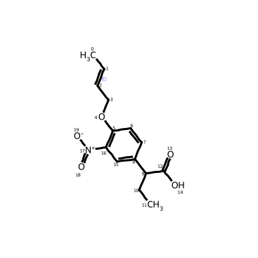 C/C=C/COc1ccc(C(CC)C(=O)O)cc1[N+](=O)[O-]